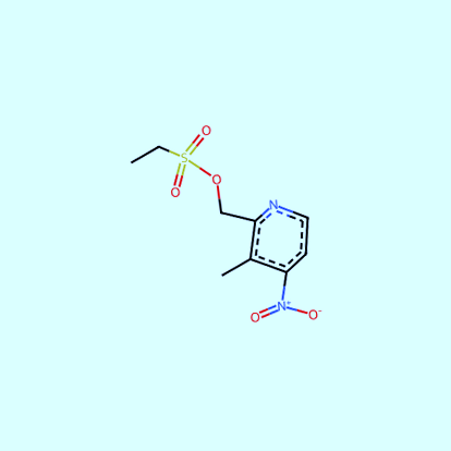 CCS(=O)(=O)OCc1nccc([N+](=O)[O-])c1C